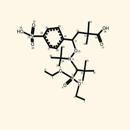 CCOP(=O)(OCC)C(N(OC(CC(C)(C)C(=O)O)c1ccc(S(=O)(=O)O)cc1)C(C)(C)C)C(C)(C)C